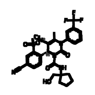 [C-]#[N+]C1=C(C)N(c2cccc(C(F)(F)F)c2)C(=O)N(C(=O)NC2(CO)CCCC2)[C@@H]1c1ccc(C#N)cc1S(C)(=O)=O